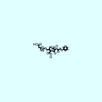 O=C(O)Cc1nnc(SCC2=C(C(=O)O)N3C(=O)C(NC(=O)CSc4cccnc4)[C@H]3SC2)o1